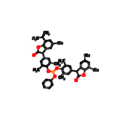 C=C(C)c1cc(C(C)(C)C)cc2c1OC(=O)C2c1cc(C)c(OP(Oc2ccccc2)Oc2c(C)cc(C3C(=O)Oc4c3cc(C(C)(C)C)cc4C(C)(C)C)cc2C)c(C)c1